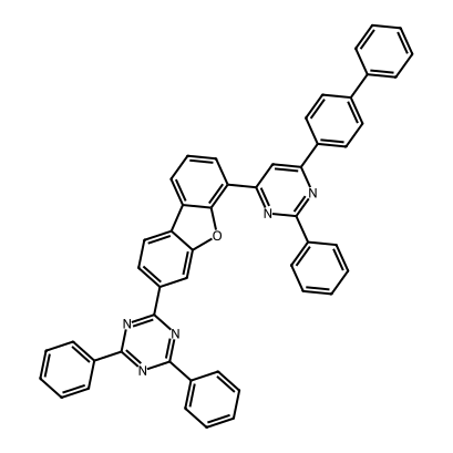 c1ccc(-c2ccc(-c3cc(-c4cccc5c4oc4cc(-c6nc(-c7ccccc7)nc(-c7ccccc7)n6)ccc45)nc(-c4ccccc4)n3)cc2)cc1